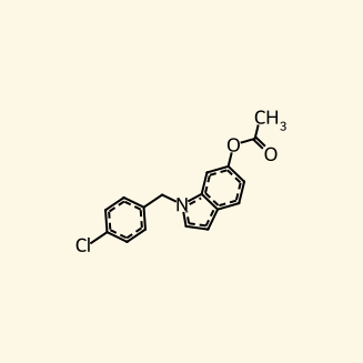 CC(=O)Oc1ccc2ccn(Cc3ccc(Cl)cc3)c2c1